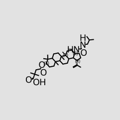 C=C(C)[C@@H]1CC[C@]2(NC(=O)NCC(C)C)CC[C@]3(C)C(CCC4C5(C)CC[C@H](OC(=O)CC(C)(C)C(=O)O)C(C)(C)C5CCC43C)C12